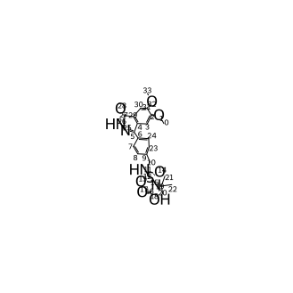 COc1cc2c(-c3ccc(CNS(=O)(=O)N(C(=O)O)C(C)(C)C)cc3)n[nH]c(=O)c2cc1OC